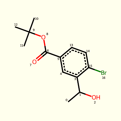 CC(O)c1cc(C(=O)OC(C)(C)C)ccc1Br